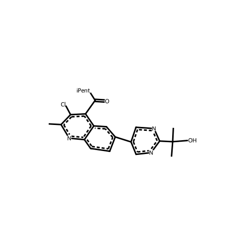 CCCC(C)C(=O)c1c(Cl)c(C)nc2ccc(-c3cnc(C(C)(C)O)nc3)cc12